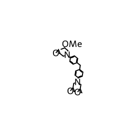 COC(C)CN(CC1CO1)c1ccc(Cc2ccc(N(CC3CO3)CC3CO3)cc2)cc1